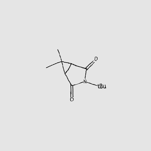 CC1(C)C2C(=O)N(C(C)(C)C)C(=O)C21